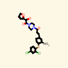 O=C(C(=O)N1CCN(C(=O)/C=C/c2ccc(Sc3ccc(Cl)cc3Cl)c([N+](=O)[O-])c2)CC1)c1ccco1